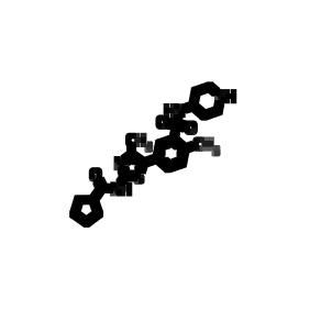 Cc1ccc(-c2sc(NC(=O)C3CCCC3)nc2C)cc1S(=O)(=O)NC1CCNCC1